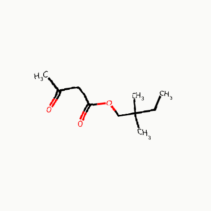 CCC(C)(C)COC(=O)CC(C)=O